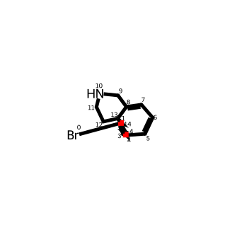 BrC1=CC=C2C=CC=C3CNCCC23C1